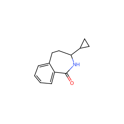 O=C1NC(C2CC2)CCc2ccccc21